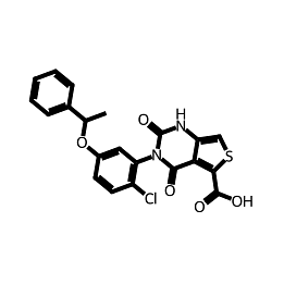 CC(Oc1ccc(Cl)c(-n2c(=O)[nH]c3csc(C(=O)O)c3c2=O)c1)c1ccccc1